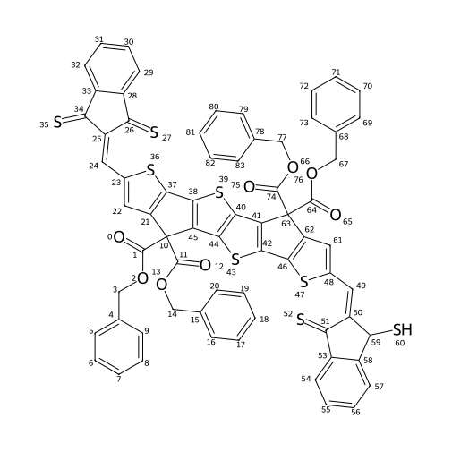 O=C(OCc1ccccc1)C1(C(=O)OCc2ccccc2)c2cc(C=C3C(=S)c4ccccc4C3=S)sc2-c2sc3c4c(sc3c21)-c1sc(C=C2C(=S)c3ccccc3C2S)cc1C4(C(=O)OCc1ccccc1)C(=O)OCc1ccccc1